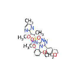 COc1cccc(OC)c1-n1c(NS(=O)(=O)C(C)C(OC)c2ncc(C)cn2)nnc1-c1ccc2c(c1)CCO2